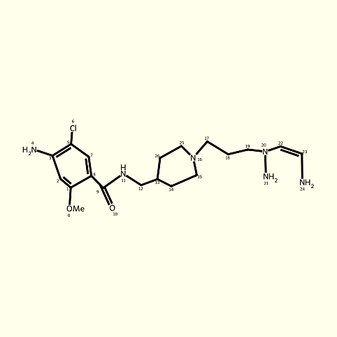 COc1cc(N)c(Cl)cc1C(=O)NCC1CCN(CCCN(N)/C=C\N)CC1